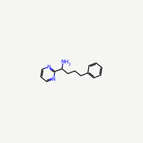 NC(CCCc1ccccc1)c1ncccn1